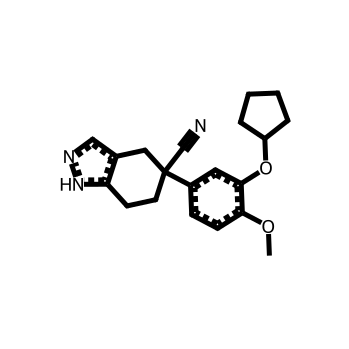 COc1ccc(C2(C#N)CCc3[nH]ncc3C2)cc1OC1CCCC1